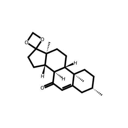 C[C@H]1CC[C@@]2(C)C(=CC(=O)[C@@H]3[C@@H]2CC[C@@]2(C)[C@H]3CCC23OCO3)C1